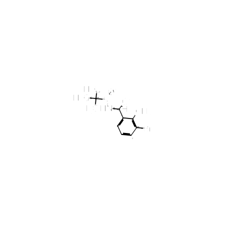 Cc1c(Br)cccc1C(C)N[S@+]([O-])C(C)(C)C